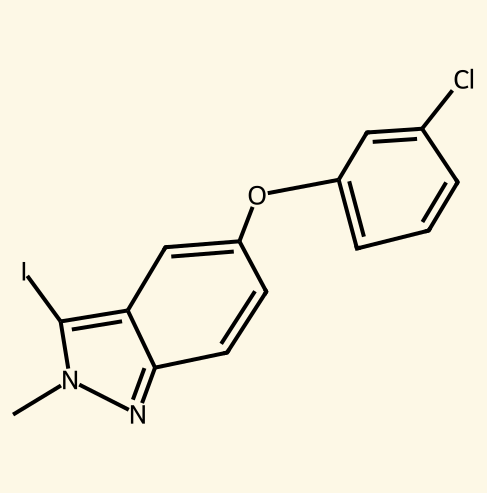 Cn1nc2ccc(Oc3cccc(Cl)c3)cc2c1I